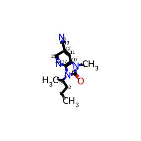 CCCC(C)n1c(=O)n(C)c2cc(C#N)cnc21